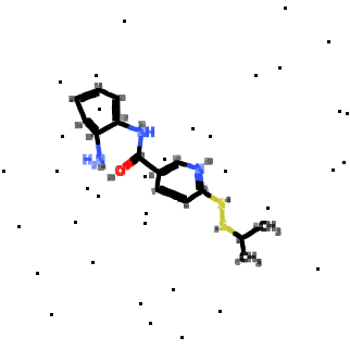 CC(C)SSc1ccc(C(=O)Nc2ccccc2N)cn1